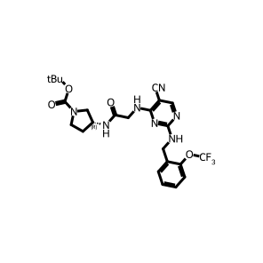 CC(C)(C)OC(=O)N1CC[C@@H](NC(=O)CNc2nc(NCc3ccccc3OC(F)(F)F)ncc2C#N)C1